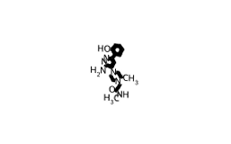 CNC(=O)CN1CCN(c2cc(-c3ccccc3O)nnc2N)C[C@H]1C